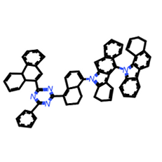 C1=CC2=C(c3nc(C4=Cc5ccccc5C5C=CC=CC45)nc(-c4ccccc4)n3)CCCC2C(n2c3c(c4c(-n5c6ccccc6c6ccc7c(c65)C=CCC7)c5ccccc5cc42)C=CCC3)=C1